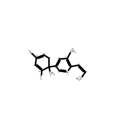 C/C=C\c1ncc(C2(C)CC=C(F)C=C2F)cc1C